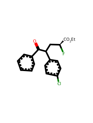 CCOC(=O)[C@@H](F)CC(C(=O)c1ccccc1)c1ccc(Cl)cc1